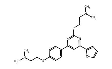 CN(C)CCSc1ccc(-c2cc(-c3ccco3)nc(SCCN(C)C)n2)cc1